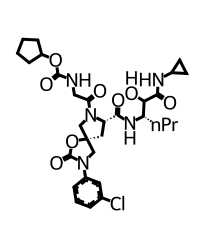 CCC[C@H](NC(=O)[C@@H]1C[C@@]2(CN(c3cccc(Cl)c3)C(=O)O2)CN1C(=O)CNC(=O)OC1CCCC1)C(O)C(=O)NC1CC1